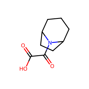 O=C(O)C(=O)N1C2CCCC1CC2